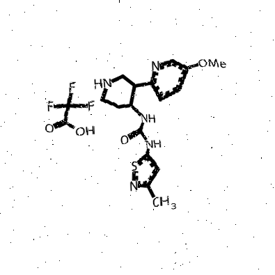 COc1ccc(C2CNCCC2NC(=O)Nc2cc(C)ns2)nc1.O=C(O)C(F)(F)F